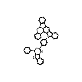 c1ccc(C2CC(c3ccc(-n4c5ccccc5c5cc6c7c(c54)-c4ccccc4CC7c4ccccc4-6)cc3)=Nc3c2oc2ccccc32)cc1